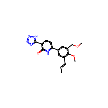 CC=Cc1cc(-c2ccc(-c3nnn[nH]3)c(=O)[nH]2)cc(COC)c1OC